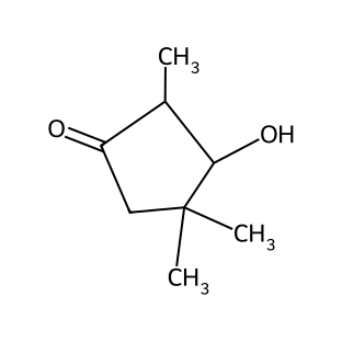 CC1C(=O)CC(C)(C)C1O